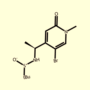 C[C@H](N[S+]([O-])C(C)(C)C)c1cc(=O)n(C)cc1Br